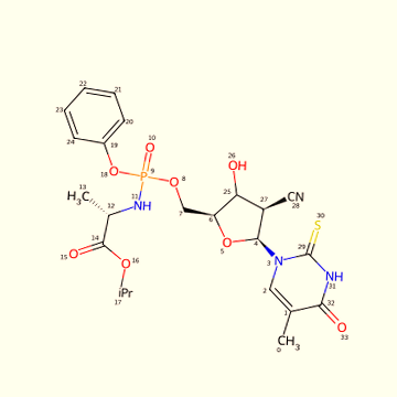 Cc1cn([C@H]2O[C@@H](COP(=O)(N[C@@H](C)C(=O)OC(C)C)Oc3ccccc3)C(O)[C@H]2C#N)c(=S)[nH]c1=O